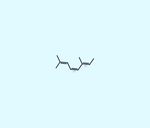 C/C=C(C)/C=C\C=C(C)C